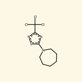 ClC(Cl)(Cl)c1nsc(N2CCCCCC2)n1